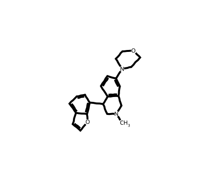 CN1Cc2cc(N3CCOCC3)ccc2C(c2cccc3ccoc23)C1